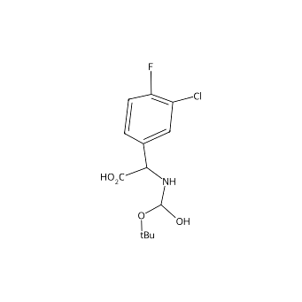 CC(C)(C)OC(O)NC(C(=O)O)c1ccc(F)c(Cl)c1